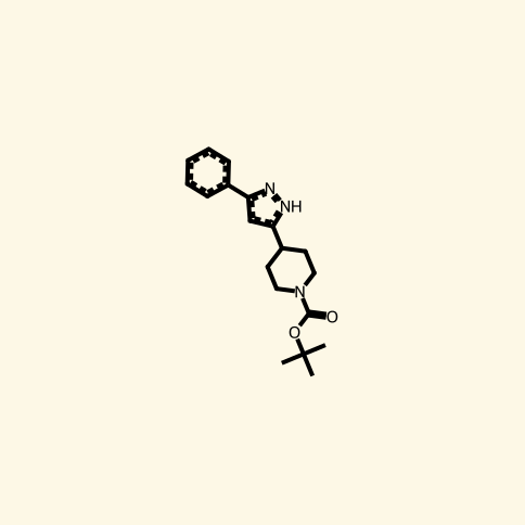 CC(C)(C)OC(=O)N1CCC(c2cc(-c3ccccc3)n[nH]2)CC1